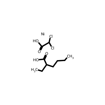 CCCCC(CC)C(=O)O.O=C(O)C(Cl)Cl.[Ni]